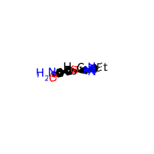 CCc1cnc(N2CC3[C@@H](COc4ccc(-c5ccc(C(N)=O)cc5)cc4)[C@]3(C)C2)nc1